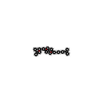 c1ccc([Si](c2ccccc2)(c2cccc3c2oc2ccc(-c4ccc(-c5ccc(-n6c7ccccc7c7ccccc76)cc5)cc4)cc23)c2cccc3c2oc2ccc(-c4ccc(-c5ccccc5-n5c6ccccc6c6ccccc65)cc4)cc23)cc1